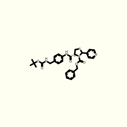 CC(C)(C)OC(=O)NCc1ccc(NC(=O)[C@@H]2CSC(c3ccncc3)N2C(=O)OCc2ccccc2)cc1